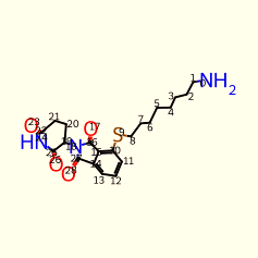 NCCCCCCCCSc1cccc2c1C(=O)N(C1CCC(=O)NC1=O)C2=O